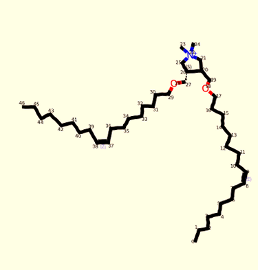 CCCCCCCC/C=C\CCCCCCCCOCC1C[N+](C)(C)C[C@H]1COCCCCCCCC/C=C\CCCCCCCC